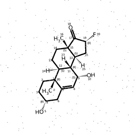 C[C@]12CC[C@@H](O)CC1=C[C@@H](O)[C@@H]1[C@@H]2CC[C@]2(C)C(=O)[C@H](F)C[C@@H]12